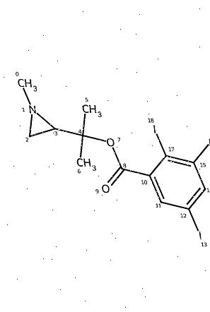 CN1CC1C(C)(C)OC(=O)c1cc(I)cc(I)c1I